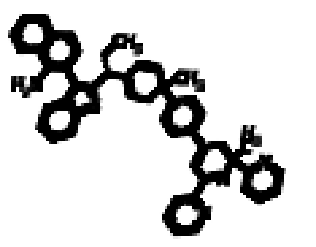 CC[C@H](C1=CCC(C)(c2ccc(C3=CC(c4ccccn4)=NC(C)(c4ccccn4)C3)cc2)C=C1)c1sc2ccccc2c1-c1ccc2ccccc2c1N